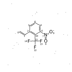 C=[C]c1cccc([N+](=O)[O-])c1C(F)(F)F